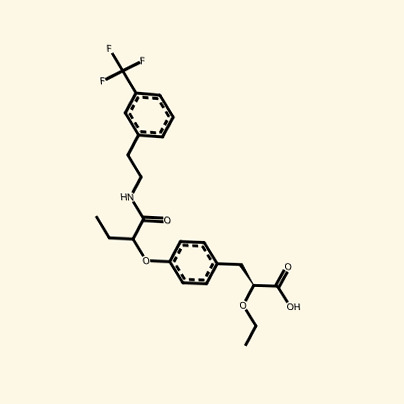 CCO[C@@H](Cc1ccc(OC(CC)C(=O)NCCc2cccc(C(F)(F)F)c2)cc1)C(=O)O